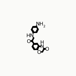 Nc1ccc(NCC(=O)c2ccc3c(c2)NC(=O)CO3)cc1